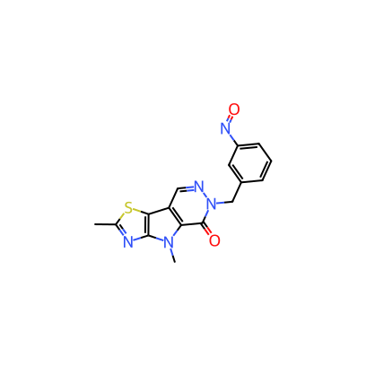 Cc1nc2c(s1)c1cnn(Cc3cccc(N=O)c3)c(=O)c1n2C